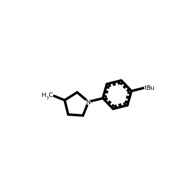 CC1CCN(c2ccc(C(C)(C)C)cc2)C1